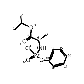 CC(C)OC(=O)[C@@H](C)NP(=O)(Cl)Oc1ccccc1